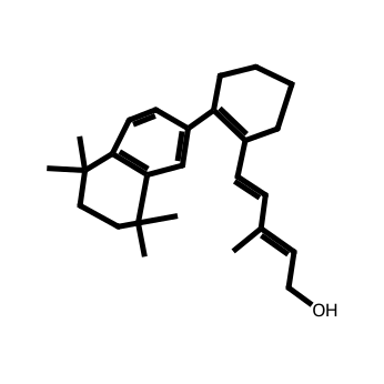 C/C(C=CC1=C(c2ccc3c(c2)C(C)(C)CCC3(C)C)CCCC1)=C\CO